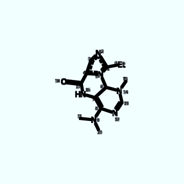 CCc1ncc2n1C1C(=C(N(C)C)N=CN1C)NC2=O